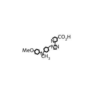 COc1ccc(N(C)c2ccc(Cn3ccnc3-c3cc(C(=O)O)ccn3)cc2)cc1